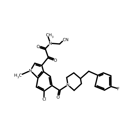 CN(CC#N)C(=O)C(=O)c1cn(C)c2cc(Cl)c(C(=O)N3CCC(Cc4ccc(F)cc4)CC3)cc12